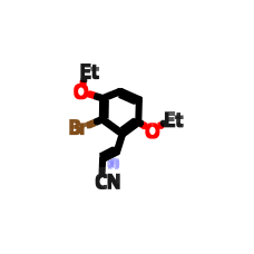 CCOc1ccc(OCC)c(/C=C/C#N)c1Br